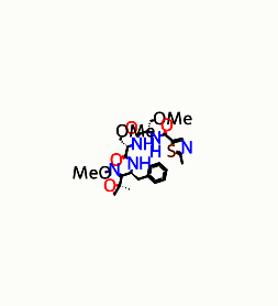 COC[C@H](NC(=O)c1cnc(C)s1)C(=O)N[C@@H](COC)C(=O)N[C@@H](Cc1ccccc1)/C(=N/OC)[C@@]1(C)CO1